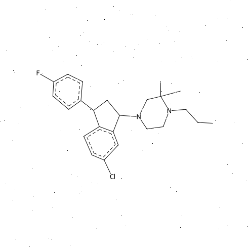 CCCN1CCN(C2CC(c3ccc(F)cc3)c3ccc(Cl)cc32)CC1(C)C